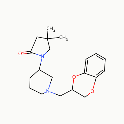 CC1(C)CC(=O)N(C2CCCN(CC3COc4ccccc4O3)C2)C1